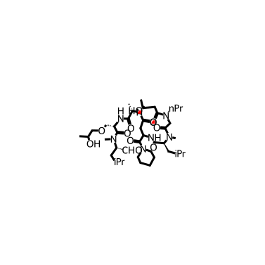 CCCN(CC(=O)N(C)[C@@H](CC(C)C)C(=O)NC(CC(=O)N(C)[C@@H](C)C(=O)N[C@@H](COCC(C)O)C(=O)N(C)[C@H](C=O)CC(C)C)C(=O)N1CCCCC1)C(=O)CC(C)O